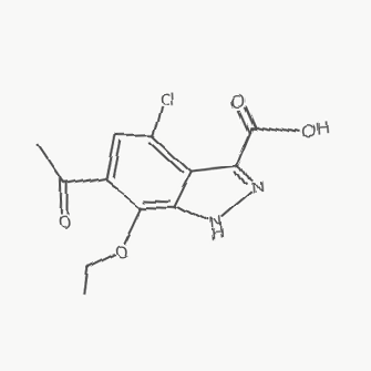 CCOc1c(C(C)=O)cc(Cl)c2c(C(=O)O)n[nH]c12